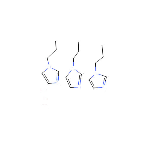 Br.Br.Br.CCCn1ccnc1.CCCn1ccnc1.CCCn1ccnc1